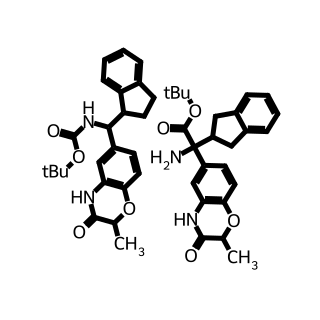 CC1Oc2ccc(C(N)(C(=O)OC(C)(C)C)C3Cc4ccccc4C3)cc2NC1=O.CC1Oc2ccc(C(NC(=O)OC(C)(C)C)C3CCc4ccccc43)cc2NC1=O